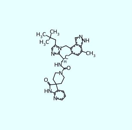 Cc1cc2c(c3cn[nH]c13)Cn1c(CC(C)(C)C)cnc1[C@H](NC(=O)N1CCC3(CC1)C(=O)Nc1ncccc13)C2